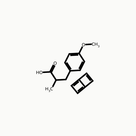 COc1ccc(CC(C)C(=O)O)cc1.c1cc2ccc1-2